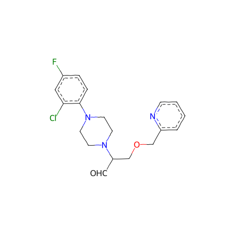 O=CC(COCc1ccccn1)N1CCN(c2ccc(F)cc2Cl)CC1